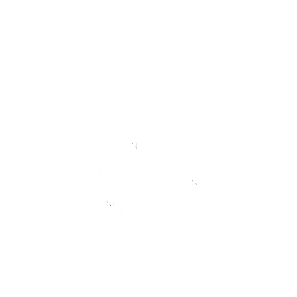 NC(=O)C1Sc2cnccc2C1Nc1ccc(Cl)cc1